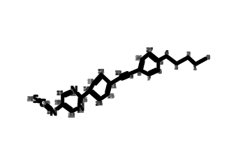 CCCCCc1ccc(C#Cc2ccc(-c3ncc(N=C=S)cn3)cc2)cc1